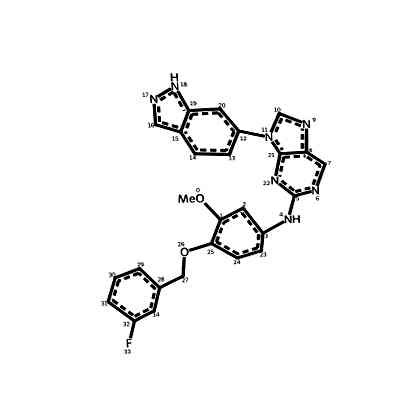 COc1cc(Nc2ncc3ncn(-c4ccc5cn[nH]c5c4)c3n2)ccc1OCc1cccc(F)c1